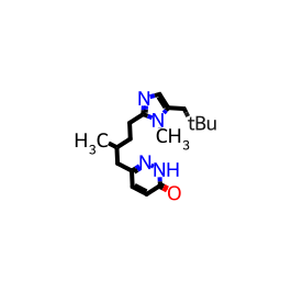 CC(CCc1ncc(CC(C)(C)C)n1C)Cc1ccc(=O)[nH]n1